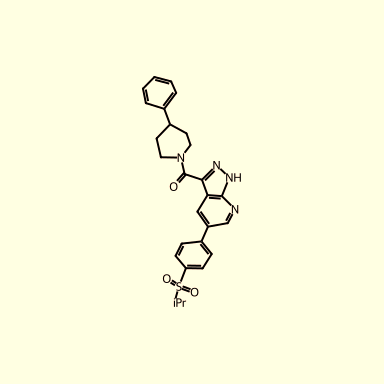 CC(C)S(=O)(=O)c1ccc(-c2cnc3[nH]nc(C(=O)N4CCC(c5ccccc5)CC4)c3c2)cc1